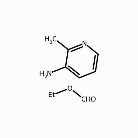 CCOC=O.Cc1ncccc1N